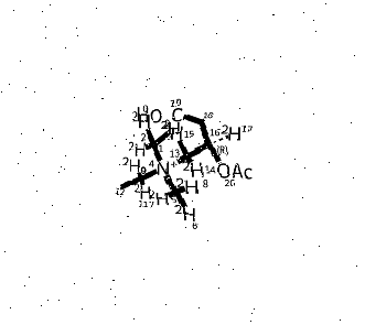 [2H]C([2H])([2H])[N+](C([2H])([2H])[2H])(C([2H])([2H])C)C([2H])([2H])[C@@]([2H])(CC(=O)O)OC(C)=O